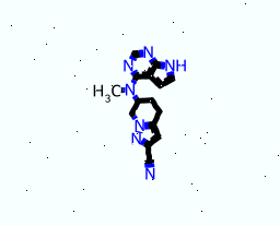 CN(c1ncnc2[nH]ccc12)C1CCc2cc(C#N)nn2C1